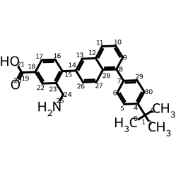 CC(C)(C)c1ccc(-c2cccc3cc(-c4ccc(C(=O)O)cc4CN)ccc23)cc1